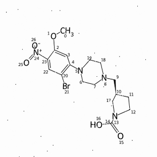 COc1cc(N2CCN(C[C@H]3CCN(C(=O)O)C3)CC2)c(Br)cc1[N+](=O)[O-]